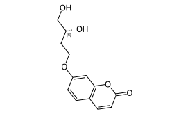 O=c1ccc2ccc(OCC[C@@H](O)CO)cc2o1